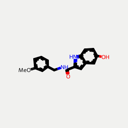 COc1cccc(CNC(=O)c2cc3cc(O)ccc3[nH]2)c1